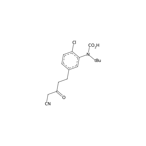 CC(C)(C)N(C(=O)O)c1cc(CCC(=O)CC#N)ccc1Cl